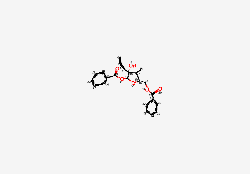 C=C=C[C@]1(O)C(OC(=O)c2ccccc2)O[C@H](COC(=O)c2ccccc2)C1C